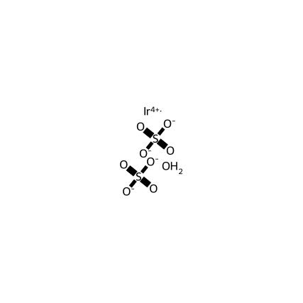 O.O=S(=O)([O-])[O-].O=S(=O)([O-])[O-].[Ir+4]